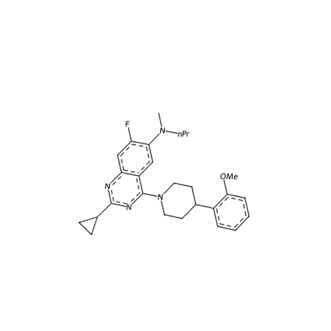 CCCN(C)c1cc2c(N3CCC(c4ccccc4OC)CC3)nc(C3CC3)nc2cc1F